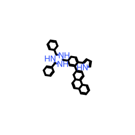 C1=CCC(C2NC(C3=CCCC=C3)NC(C3C=C(C4=CC=C5C(C=CC6C=CC=CC56)C4)C(c4ccc[nH]4)=CC3)N2)C=C1